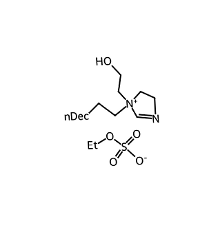 CCCCCCCCCCCC[N+]1(CCO)C=NCC1.CCOS(=O)(=O)[O-]